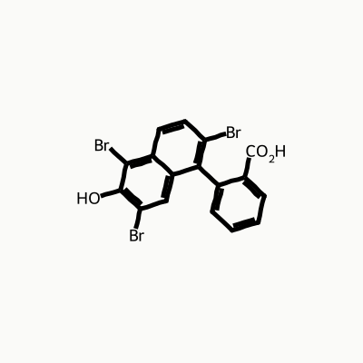 O=C(O)c1ccccc1-c1c(Br)ccc2c(Br)c(O)c(Br)cc12